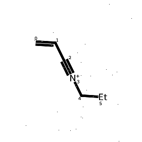 C=CC#[N+]CCC